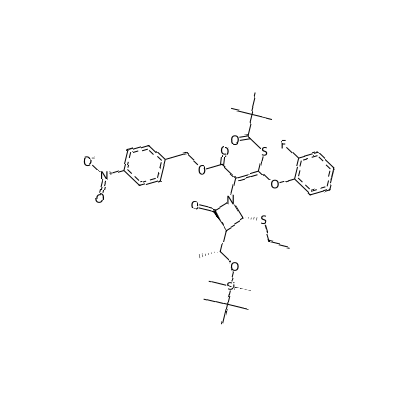 CCS[C@@H]1[C@@H]([C@@H](C)O[Si](C)(C)C(C)(C)C)C(=O)N1C(C(=O)OCc1ccc([N+](=O)[O-])cc1)=C(Oc1ccccc1F)SC(=O)C(C)(C)C